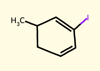 CC1C=C(I)C=CC1